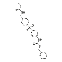 C=CC(=O)NCC1CCN(S(=O)(=O)c2ccc(NC(=O)OCc3ccccc3)cc2)CC1